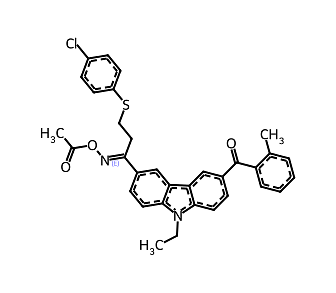 CCn1c2ccc(C(=O)c3ccccc3C)cc2c2cc(/C(CCSc3ccc(Cl)cc3)=N/OC(C)=O)ccc21